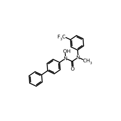 CN(C(=O)N(O)c1ccc(-c2ccccc2)cc1)c1cccc(C(F)(F)F)c1